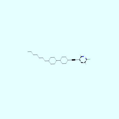 CCCCCCCC1CCC(C2CCC(C#Cc3cc(F)c(F)nc3F)CC2)CC1